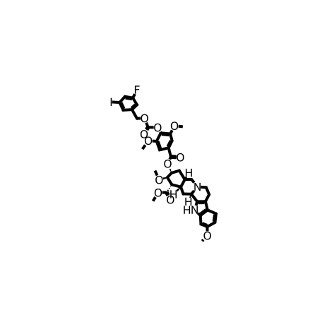 COC(=O)[C@H]1[C@H]2C[C@@H]3c4[nH]c5cc(OC)ccc5c4CCN3C[C@H]2C[C@@H](OC(=O)c2cc(OC)c(OC(=O)OCc3cc(F)cc(I)c3)c(OC)c2)[C@@H]1OC